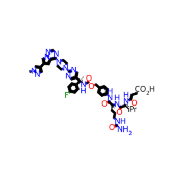 CC(C)[C@H](NC(=O)CCC(=O)O)C(=O)N[C@@H](CCCNC(N)=O)C(=O)Nc1ccc(COC(=O)N[C@@](C)(c2ccc(F)cc2)c2cnc(N3CCN(c4ncnn5cc(-c6cnn(C)c6)cc45)CC3)nc2)cc1